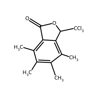 Cc1c(C)c(C)c2c(c1C)C(=O)OC2C(Cl)(Cl)Cl